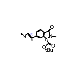 C=N/C=C(\C)c1ccc2c(=O)n(C)n(C(=O)OC(C)(C)C)c2c1